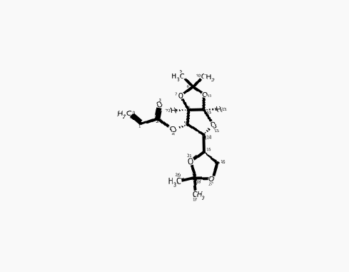 C=CC(=O)O[C@@H]1[C@H]2OC(C)(C)O[C@H]2O[C@@H]1[C@H]1COC(C)(C)O1